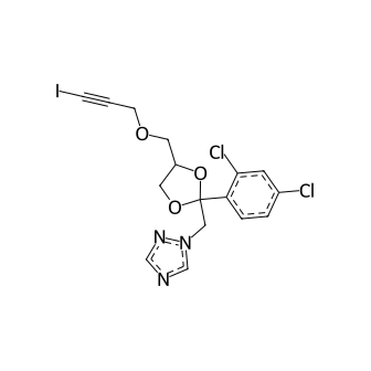 Clc1ccc(C2(Cn3cncn3)OCC(COCC#CI)O2)c(Cl)c1